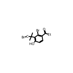 CCC(=O)c1ccc(O)c(C(C)(C)CBr)c1Br